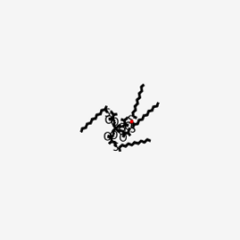 CCCCCCCCCCC(C)SCC(C)C(=O)OCC(COC(=O)C(C)CSC(C)CCCCCCCCCC)(COC(=O)C(C)CSC(C)CCCCCCCCCC)COC(=O)C(C)CSC(C)CCCCCCCCCC